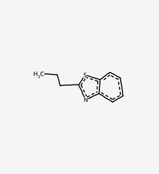 CCCc1nc2c[c]ccc2s1